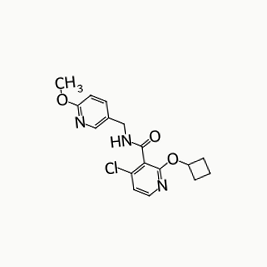 COc1ccc(CNC(=O)c2c(Cl)ccnc2OC2CCC2)cn1